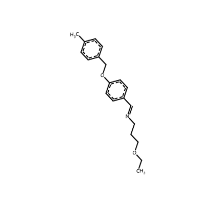 CCOCCC/N=C/c1ccc(OCc2ccc(C)cc2)cc1